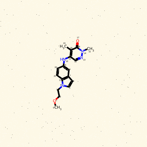 COCCn1ccc2cc(Nc3cnn(C)c(=O)c3C)ccc21